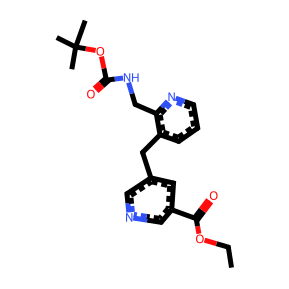 CCOC(=O)c1cncc(Cc2cccnc2CNC(=O)OC(C)(C)C)c1